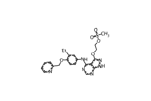 CCc1cc(Nc2ncnc3[nH]nc(OCCOS(C)(=O)=O)c23)ccc1OCc1ccccn1